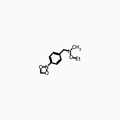 CCON(C)Cc1ccc(N2OCO2)cc1